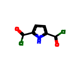 O=C(Cl)c1ccc(C(=O)Cl)[nH]1